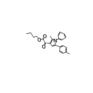 CCCCOC(=O)C(=O)c1cc(-c2ccc(C)cc2)n(-c2ccccc2)c1C